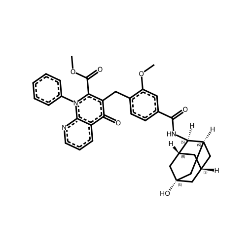 COC(=O)c1c(Cc2ccc(C(=O)N[C@@H]3[C@@H]4C[C@@H]5C[C@H]3C[C@@](O)(C5)C4)cc2OC)c(=O)c2cccnc2n1-c1ccccc1